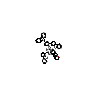 c1ccc(-c2cccc(-n3c4ccccc4c4ccc5c6cc(-n7c8ccccc8c8ccccc87)ccc6n(-c6nc(-c7ccccc7)nc(-c7cccc8c7sc7ccccc78)n6)c5c43)c2)cc1